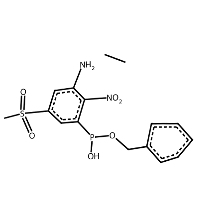 CC.CS(=O)(=O)c1cc(N)c([N+](=O)[O-])c(P(O)OCc2ccccc2)c1